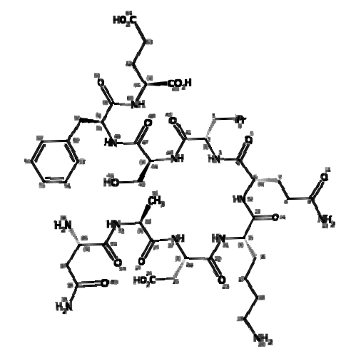 CC(C)C[C@H](NC(=O)[C@H](CCC(N)=O)NC(=O)[C@H](CCCCN)NC(=O)[C@H](CC(=O)O)NC(=O)[C@H](C)NC(=O)[C@@H](N)CC(N)=O)C(=O)N[C@@H](CO)C(=O)N[C@@H](Cc1ccccc1)C(=O)N[C@@H](CCC(=O)O)C(=O)O